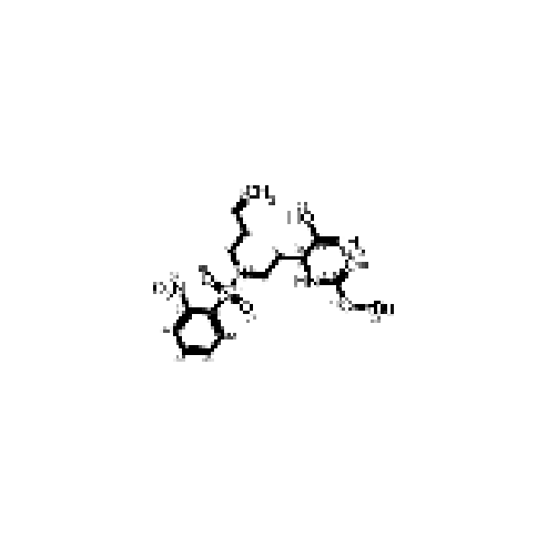 C=CCCN(CC[C@H](NC(=O)OC(C)(C)C)C(=C)O)S(=O)(=O)c1ccccc1[N+](=O)[O-]